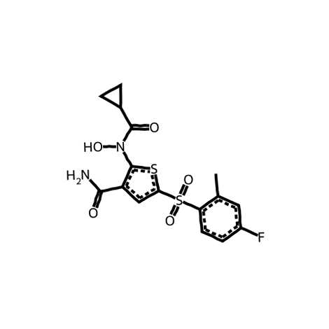 Cc1cc(F)ccc1S(=O)(=O)c1cc(C(N)=O)c(N(O)C(=O)C2CC2)s1